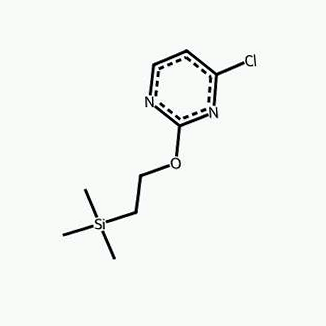 C[Si](C)(C)CCOc1nccc(Cl)n1